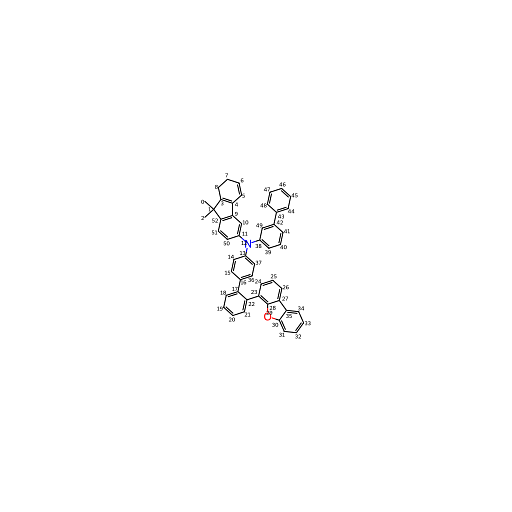 CC1(C)C2=C(C=CCC2)c2cc(N(c3ccc(-c4ccccc4-c4cccc5c4oc4ccccc45)cc3)c3cccc(-c4ccccc4)c3)ccc21